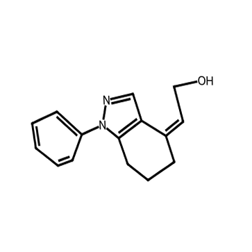 OC/C=C1/CCCc2c1cnn2-c1ccccc1